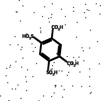 O=C(O)c1cc(C(=O)O)c(S(=O)(=O)O)cc1S(=O)(=O)O